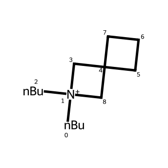 CCCC[N+]1(CCCC)CC2(CCC2)C1